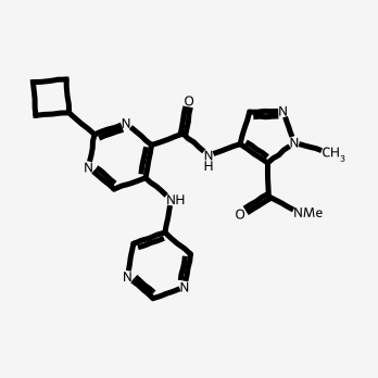 CNC(=O)c1c(NC(=O)c2nc(C3CCC3)ncc2Nc2cncnc2)cnn1C